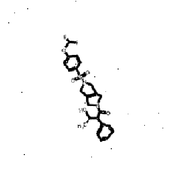 C[C@@H](O)C(C(=O)N1CC2=C(C1)CN(S(=O)(=O)c1ccc(OC(F)F)cc1)C2)c1ccccc1